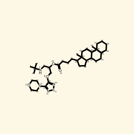 CC(C)(C)NCC(COc1nsnc1N1CCOCC1)OC(=O)CCCC1CCC2C3CCC4CCCCC4(C)C3CCC12C